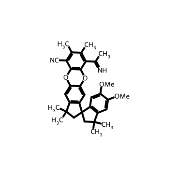 COc1cc2c(cc1OC)C1(CC2(C)C)CC(C)(C)c2cc3c(cc21)Oc1c(c(C#N)c(C)c(C)c1C(C)=N)O3